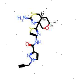 C#CCn1ccc(C(=O)Nc2csc(C34CO[C@@H](C)C[C@H]3CSC(N)=N4)n2)n1